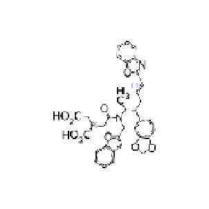 CC(C(C/C=C/c1nc2ccccc2o1)c1ccc2c(c1)OCO2)N(Cc1cc2ccccc2o1)C(=O)C[C@H](CC(=O)O)C(=O)O